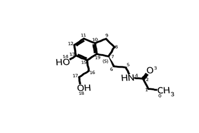 CCC(=O)NCC[C@@H]1CCc2ccc(O)c(CCO)c21